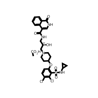 CC(=O)O.O=C(NC[C@@H](O)CN1CCC(Oc2ccc(Cl)c(Cl)c2S(=O)(=O)NC2CC2)CC1)c1c[nH]c(=O)c2ccccc12